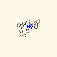 c1ccc(-c2nc(-c3ccc(-c4cccc5sc6ccc(-c7cc8ccccc8c8ccccc78)cc6c45)cc3)nc(-c3cccc4c3sc3ccccc34)n2)cc1